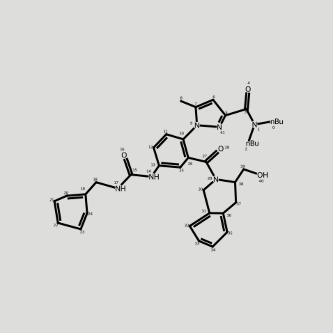 CCCCN(CCCC)C(=O)c1cc(C)n(-c2ccc(NC(=O)NCc3ccccc3)cc2C(=O)N2Cc3ccccc3CC2CO)n1